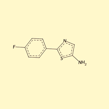 Nc1cnc(-c2ccc(F)cc2)s1